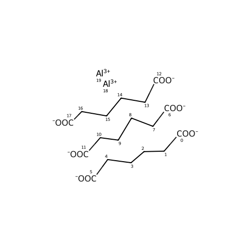 O=C([O-])CCCCC(=O)[O-].O=C([O-])CCCCC(=O)[O-].O=C([O-])CCCCC(=O)[O-].[Al+3].[Al+3]